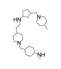 CNC1CCC(CN2CCC(CCNC3CCC(CN4CCC(C)CC4)C3)CC2)CC1